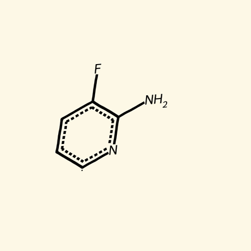 Nc1n[c]ccc1F